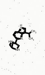 CC(C)c1c[nH]c2ccc(C34CNC(CN3)C4)nc12